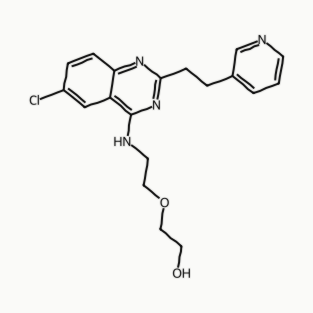 OCCOCCNc1nc(CCc2cccnc2)nc2ccc(Cl)cc12